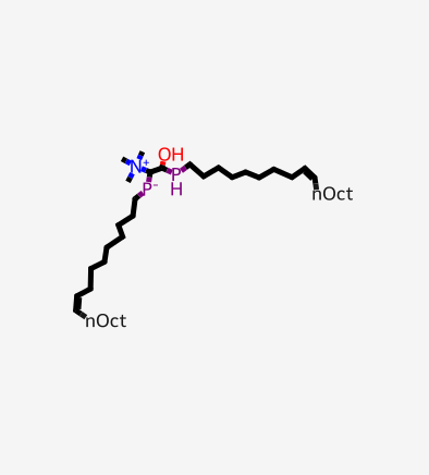 CCCCCCCC/C=C\CCCCCCCC[P-]C(C(O)PCCCCCCCC/C=C\CCCCCCCC)[N+](C)(C)C